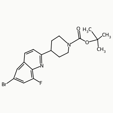 CC(C)(C)OC(=O)N1CCC(c2ccc3cc(Br)cc(F)c3n2)CC1